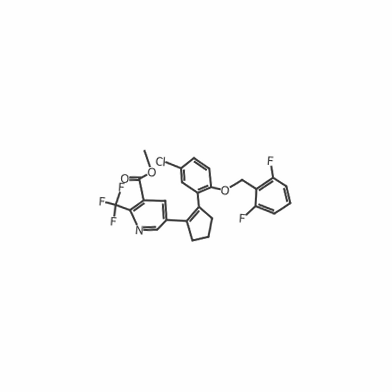 COC(=O)c1cc(C2=C(c3cc(Cl)ccc3OCc3c(F)cccc3F)CCC2)cnc1C(F)(F)F